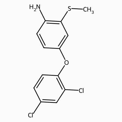 CSc1cc(Oc2ccc(Cl)cc2Cl)ccc1N